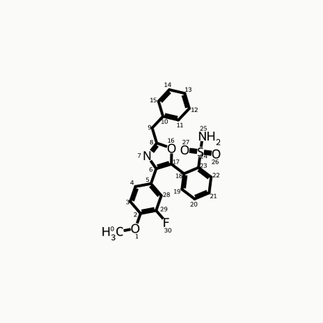 COc1ccc(-c2nc(Cc3ccccc3)oc2-c2ccccc2S(N)(=O)=O)cc1F